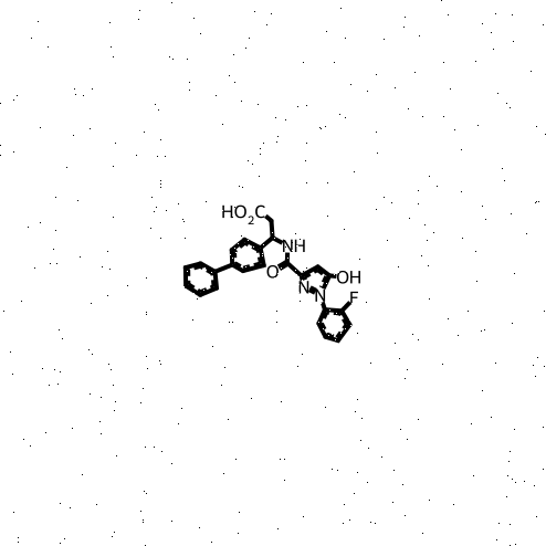 O=C(O)CC(NC(=O)c1cc(O)n(-c2ccccc2F)n1)c1ccc(-c2ccccc2)cc1